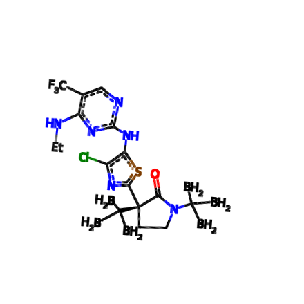 BC(B)(B)N1CC[C@@](c2nc(Cl)c(Nc3ncc(C(F)(F)F)c(NCC)n3)s2)(C(B)(B)B)C1=O